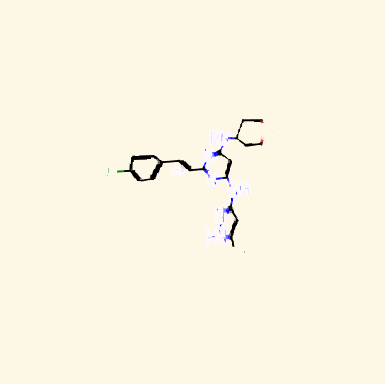 Cc1cc(Nc2cc(NC3CCOCC3)nc(/C=C/c3ccc(F)cc3)n2)n[nH]1